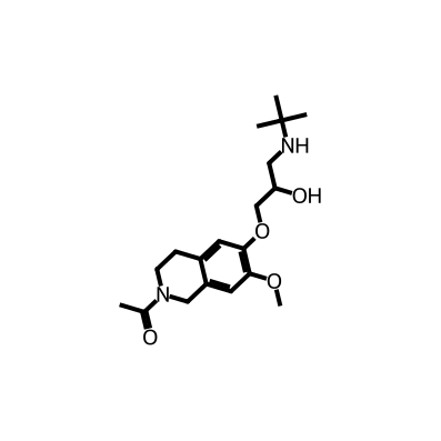 COc1cc2c(cc1OCC(O)CNC(C)(C)C)CCN(C(C)=O)C2